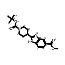 COC(=O)c1ccc2[nH]c(C3CCN(C(=O)OC(C)(C)C)CC3)nc2c1